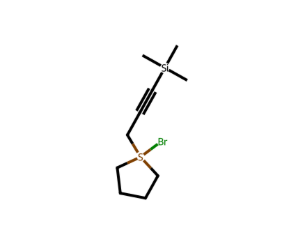 C[Si](C)(C)C#CCS1(Br)CCCC1